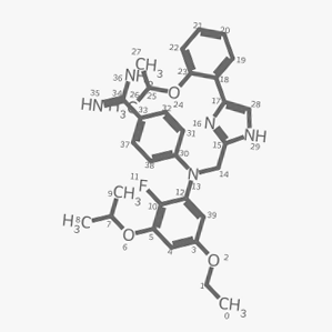 CCOc1cc(OC(C)C)c(F)c(N(Cc2nc(-c3ccccc3OC(C)C)c[nH]2)c2ccc(C(=N)N)cc2)c1